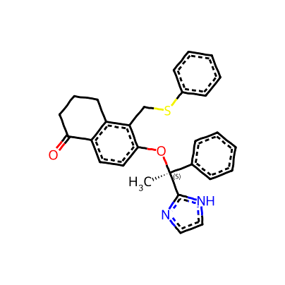 C[C@](Oc1ccc2c(c1CSc1ccccc1)CCCC2=O)(c1ccccc1)c1ncc[nH]1